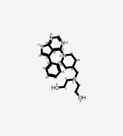 OCCN(CCO)CC1CCN(c2ncnc3scc(-c4ccccc4)c23)CC1